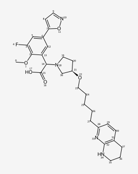 COc1c(F)cc(-c2ccno2)cc1C(C(=O)O)N1CC[C@@H](OCCCCCc2ccc3c(n2)NCCC3)C1